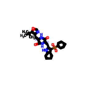 CC(C)(C)c1ocnc1/C=c1\[nH]c(=O)/c(=C/c2[nH]c3ccccc3c2S(=O)(=O)c2ccccc2)[nH]c1=O